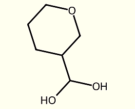 OC(O)C1CCCOC1